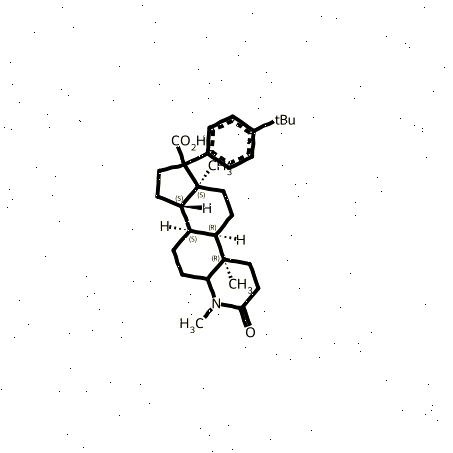 CN1C(=O)CC[C@@]2(C)C1CC[C@@H]1[C@H]2CC[C@@]2(C)[C@H]1CCC2(C(=O)O)c1ccc(C(C)(C)C)cc1